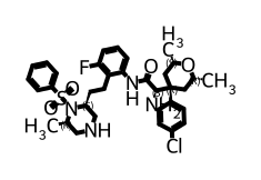 C[C@@H]1C[C@](c2ccc(Cl)cc2)([C@H](N)C(=O)Nc2cccc(F)c2CC[C@H]2CNC[C@@H](C)N2S(=O)(=O)c2ccccc2)C[C@H](C)O1